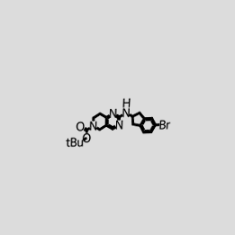 CC(C)(C)OC(=O)N1CCc2nc(NC3Cc4ccc(Br)cc4C3)ncc2C1